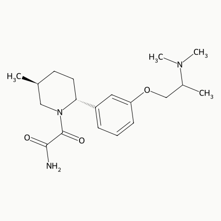 CC(COc1cccc([C@H]2CC[C@H](C)CN2C(=O)C(N)=O)c1)N(C)C